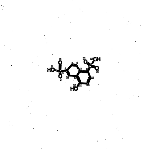 O=S(=O)(O)c1ccc2c(S(=O)(=O)O)ccc(O)c2c1